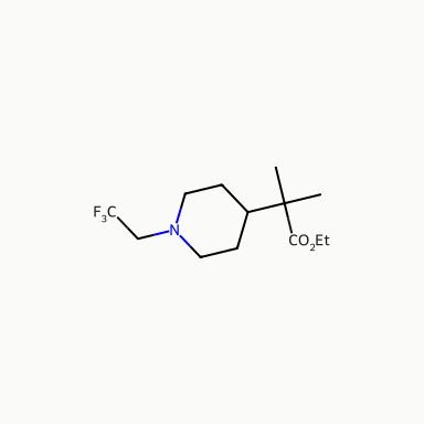 CCOC(=O)C(C)(C)C1CCN(CC(F)(F)F)CC1